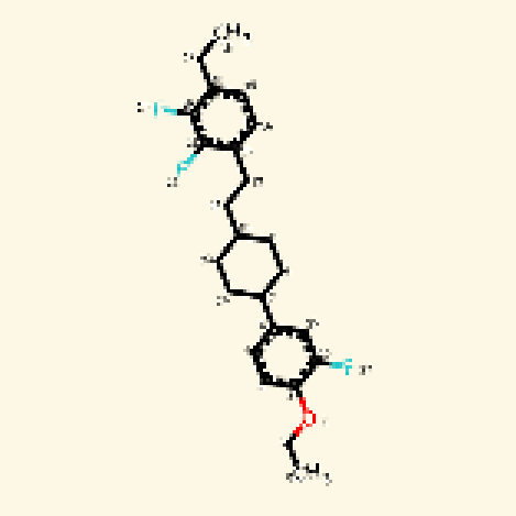 CCOc1ccc(C2CCC(CCc3ccc(CC)c(F)c3F)CC2)cc1F